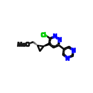 COC[C@H]1C[C@@H]1c1cc(-c2cncnc2)nnc1Cl